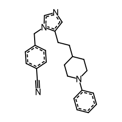 N#Cc1ccc(Cn2cncc2CCC2CCN(c3ccccc3)CC2)cc1